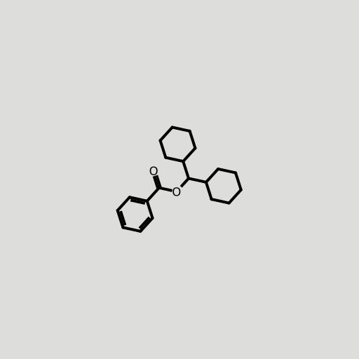 O=C(OC(C1CCCCC1)C1CCCCC1)c1ccccc1